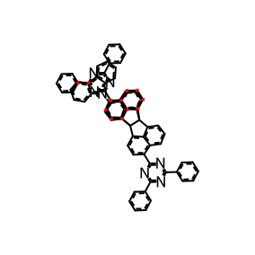 c1ccc(-c2nc(-c3ccccc3)nc(-c3ccc4c5c(cccc35)C35c6cccc7c(-c8nc(-c9ccccc9)nc(-c9ccccc9)n8)ccc(c67)C43c3ccc(-n4c6ccccc6c6ccccc64)c4cccc5c34)n2)cc1